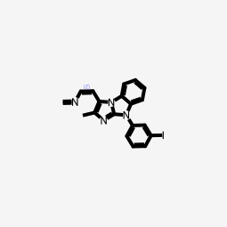 C=N/C=C\c1c(C)nc2n(-c3cccc(I)c3)c3ccccc3n12